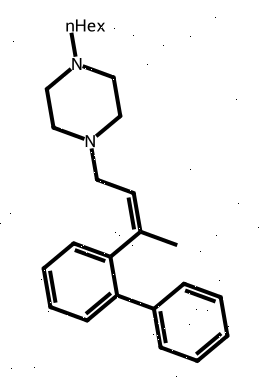 CCCCCCN1CCN(CC=C(C)c2ccccc2-c2ccccc2)CC1